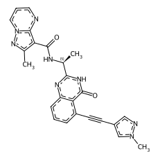 Cc1nn2cccnc2c1C(=O)N[C@@H](C)c1nc2cccc(C#Cc3cnn(C)c3)c2c(=O)[nH]1